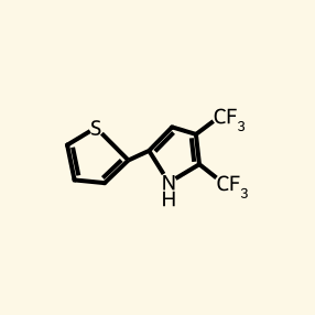 FC(F)(F)c1cc(-c2cccs2)[nH]c1C(F)(F)F